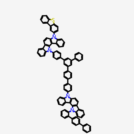 c1ccc(-c2ccc(-c3ccccc3-n3c4ccccc4c4ccc5c(c6ccccc6n5-c5ccc(-c6ccc(-c7cc(-c8ccccc8)cc(-c8ccc(-n9c%10ccccc%10c%10ccc%11c(c%12ccccc%12n%11-c%11ccc%12sc%13ccccc%13c%12c%11)c%109)cc8)c7)cc6)cc5)c43)cc2)cc1